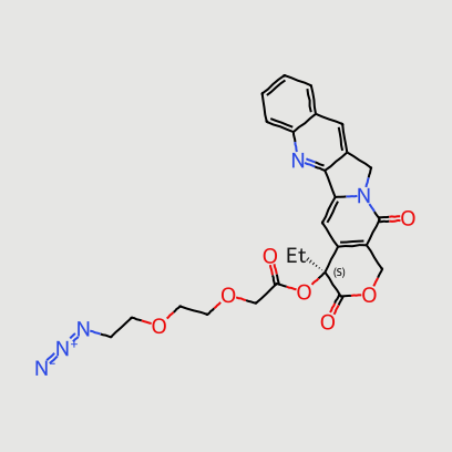 CC[C@@]1(OC(=O)COCCOCCN=[N+]=[N-])C(=O)OCc2c1cc1n(c2=O)Cc2cc3ccccc3nc2-1